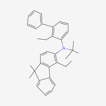 CCc1c(-c2ccccc2)cccc1N(c1ccc2c(c1CC)-c1ccccc1C2(C)C)C(C)(C)C